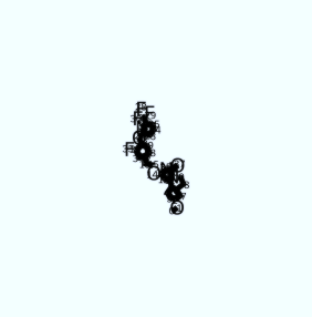 COc1ccc2c(c1)CCn1c-2cc(OCCc2ccc(Oc3cccc(C(F)(F)F)n3)c(F)c2)nc1=O